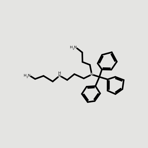 NCCCNCCCN(CCCN)C(c1ccccc1)(c1ccccc1)c1ccccc1